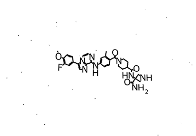 COc1ccc(-c2cnc3c(Nc4ccc(C(=O)N5CCC(C(=O)NC6(C(N)=O)CNC6)CC5)c(C)c4)nccn23)cc1F